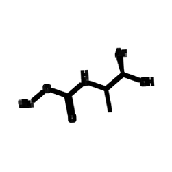 CC(=O)[C@@H](O)C(C)NC(=O)OC(C)(C)C